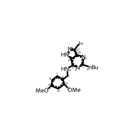 CCCCc1nc(NCc2ccc(OC)cc2OC)c2[nH]nc(I)c2n1